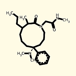 CCCC1CCC[C@@](c2ccccc2)(N(C)C)CCCN(CC(=O)NC)C(=O)C1C